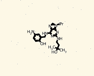 CC(C)n1cnc2c(NCc3cc(N)ccc3O)nc(NCCC(C)(C)O)nc21